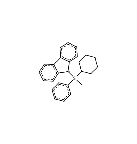 C[Si]([C]1c2ccccc2-c2ccccc21)(c1ccccc1)C1CCCCC1